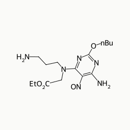 CCCCOc1nc(N)c(N=O)c(N(CCCN)CC(=O)OCC)n1